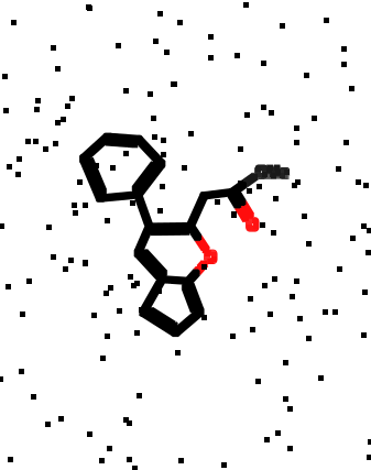 COC(=O)Cc1oc2cccc-2cc1-c1ccccc1